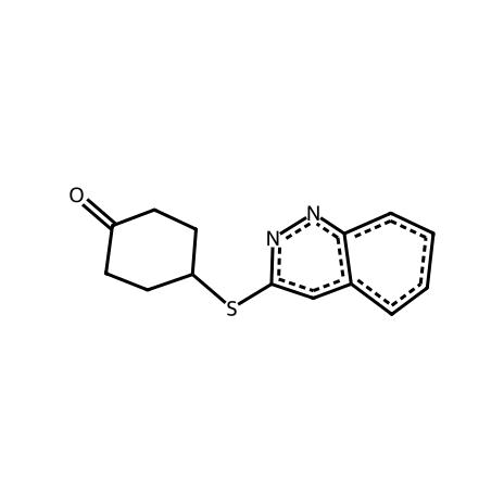 O=C1CCC(Sc2cc3ccccc3nn2)CC1